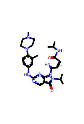 Cc1cc(Nc2ncc3c(=O)n(C(C)C)n(C(=N)/C=C\C(=O)NC(C)C)c3n2)ccc1N1CCN(C)CC1